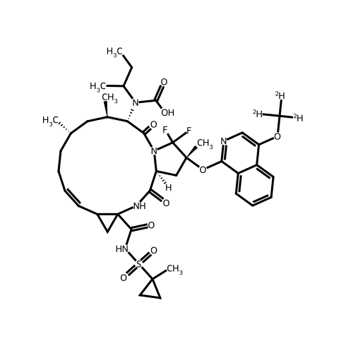 [2H]C([2H])([2H])Oc1cnc(O[C@]2(C)C[C@H]3C(=O)NC4(C(=O)NS(=O)(=O)C5(C)CC5)CC4/C=C\CC[C@H](C)C[C@@H](C)[C@H](N(C(=O)O)C(C)CC)C(=O)N3C2(F)F)c2ccccc12